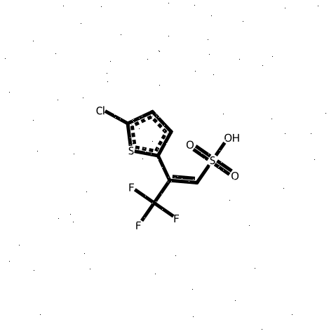 O=S(=O)(O)C=C(c1ccc(Cl)s1)C(F)(F)F